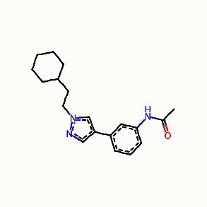 CC(=O)Nc1cccc(-c2cnn(CCC3CCCCC3)c2)c1